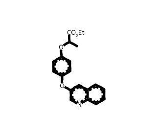 CCOC(=O)C(C)Oc1ccc(Oc2cnc3ccccc3c2)cc1